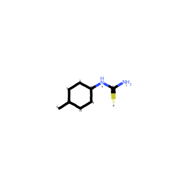 CC1CCC(NC(N)=S)CC1